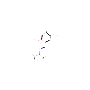 COc1cc(/C=N/C(C(C)C)C(C)C)c(OC)cc1C